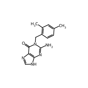 Cc1ccc(Cn2c(N)nc3[nH]cnc3c2=O)c(C)c1